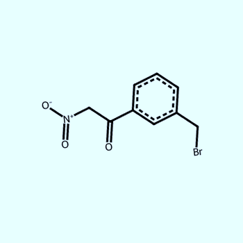 O=C(C[N+](=O)[O-])c1cccc(CBr)c1